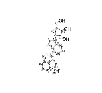 OC[C@H]1OC(n2cnc3c(NCc4c(F)cccc4C(F)(F)F)ncnc32)[C@@H](O)[C@@H]1O